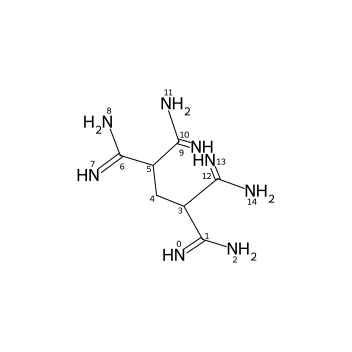 N=C(N)C(CC(C(=N)N)C(=N)N)C(=N)N